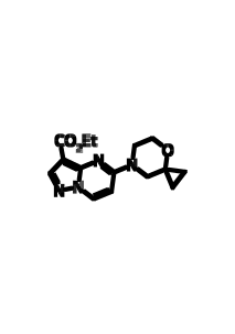 CCOC(=O)c1cnn2ccc(N3CCOC4(CC4)C3)nc12